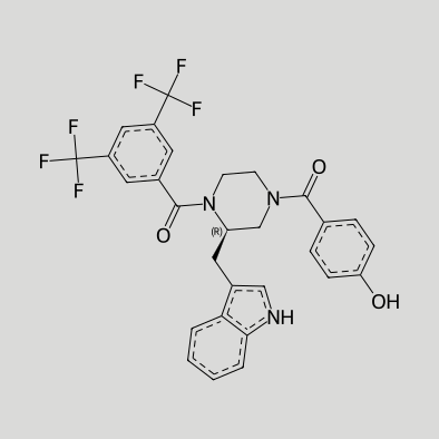 O=C(c1ccc(O)cc1)N1CCN(C(=O)c2cc(C(F)(F)F)cc(C(F)(F)F)c2)[C@H](Cc2c[nH]c3ccccc23)C1